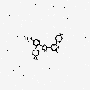 Cc1cc(-n2ncc(-c3ccc(N)cc3N3CCC4(CC3)CC4)n2)cc(N2CCC(F)(F)CC2)n1